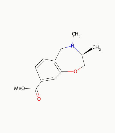 COC(=O)c1ccc2c(c1)OC[C@H](C)N(C)C2